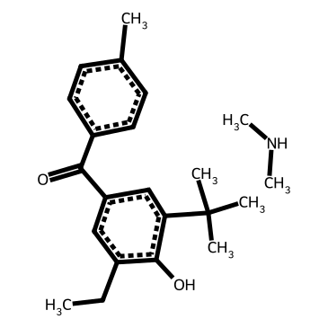 CCc1cc(C(=O)c2ccc(C)cc2)cc(C(C)(C)C)c1O.CNC